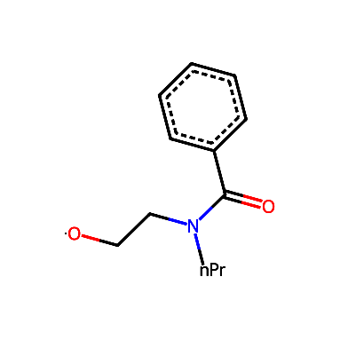 CCCN(CC[O])C(=O)c1ccccc1